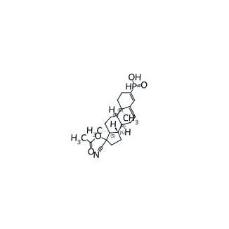 CC(=O)OC1(C#N)CC[C@H]2[C@@H]3CC=C4C=C([PH](=O)O)CC[C@]4(C)[C@@H]3CC[C@@]21C